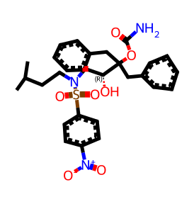 CC(C)CCN(C[C@@H](O)C(Cc1ccccc1)(Cc1ccccc1)OC(N)=O)S(=O)(=O)c1ccc([N+](=O)[O-])cc1